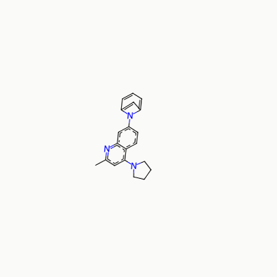 Cc1cc(N2CCCC2)c2ccc(N3C4=CC=CC3=C4)cc2n1